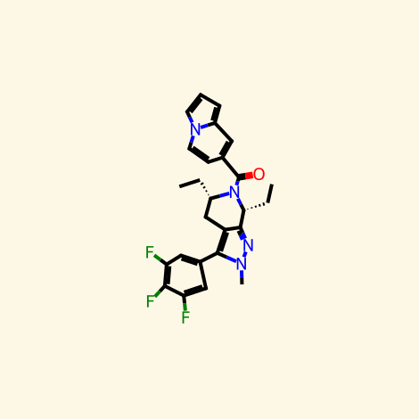 CC[C@H]1Cc2c(nn(C)c2-c2cc(F)c(F)c(F)c2)[C@@H](CC)N1C(=O)c1ccn2cccc2c1